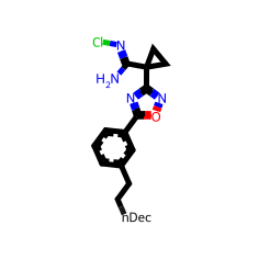 CCCCCCCCCCCCc1cccc(-c2nc(C3(/C(N)=N/Cl)CC3)no2)c1